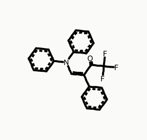 O=C(/C(=C\N(c1ccccc1)c1ccccc1)c1ccccc1)C(F)(F)F